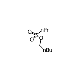 CCCCCOS(=O)(=O)CCC